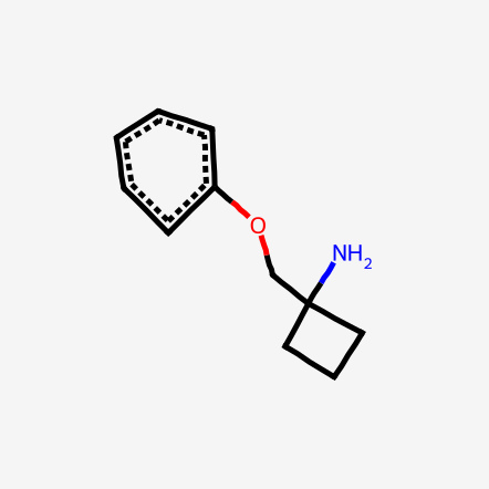 NC1(COc2ccccc2)CCC1